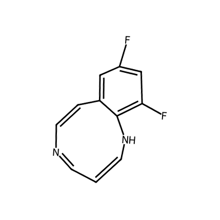 Fc1cc(F)c2[nH]cccnccc2c1